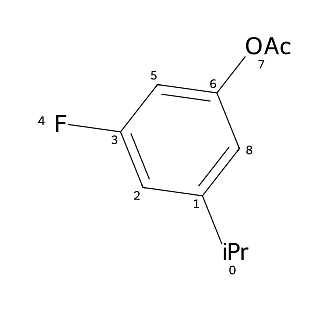 [CH2]C(C)c1cc(F)cc(OC(C)=O)c1